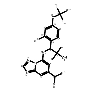 CC(C)(O)C(Nc1cc(C(F)F)cc2ncnn12)c1ccc(OC(F)(F)F)cc1F